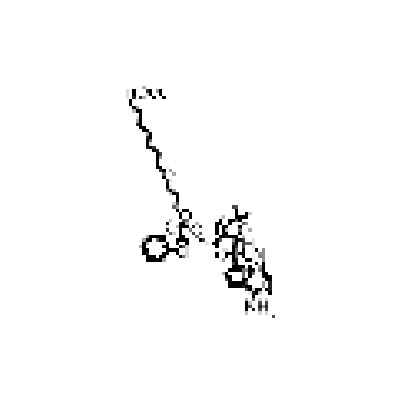 CCCCCCCCCCCCCCCCCOCCCOP(=O)(OC[C@H]1O[C@@](C#N)(c2ccc3c(N)ncnn23)[C@@H]2OC(C)(C)O[C@@H]21)Oc1ccccc1Cl